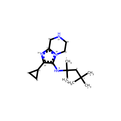 CC(C)(C)CC(C)(C)Nc1c(C2CC2)nc2n1CCNC2